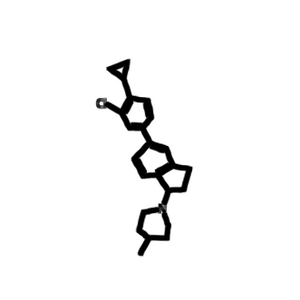 CC1CCN(C2CCc3cc(-c4ccc(C5CC5)c(Cl)c4)ccc32)CC1